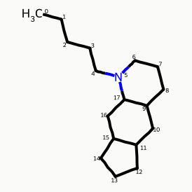 CCCCCN1CCCC2CC3CCCC3CC21